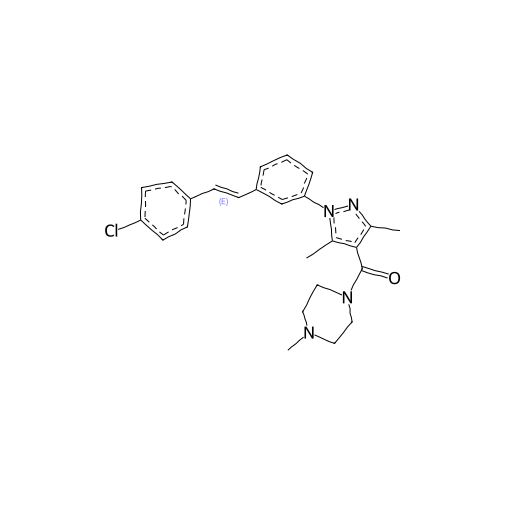 Cc1nn(-c2cccc(/C=C/c3ccc(Cl)cc3)c2)c(C)c1C(=O)N1CCN(C)CC1